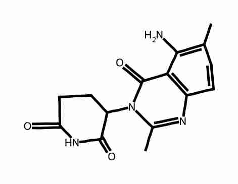 Cc1ccc2nc(C)n(C3CCC(=O)NC3=O)c(=O)c2c1N